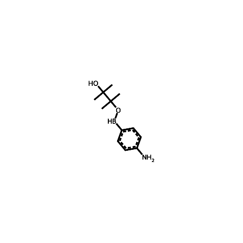 CC(C)(O)C(C)(C)OBc1ccc(N)cc1